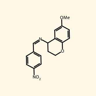 COc1ccc2c(c1)C(/N=C\c1ccc([N+](=O)[O-])cc1)CCO2